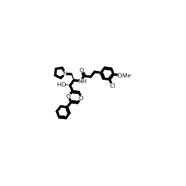 COc1ccc(CCC(=O)N[C@H](CN2CCCC2)[C@@H](O)C2=COC=C(C3=CC=CCC3)O2)cc1Cl